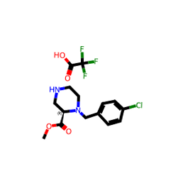 COC(=O)[C@H]1CNCCN1Cc1ccc(Cl)cc1.O=C(O)C(F)(F)F